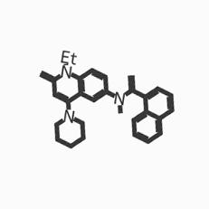 C=C(c1cccc2ccccc12)N(C)c1ccc2c(c1)C(N1CCCCC1)=CC(=C)N2CC